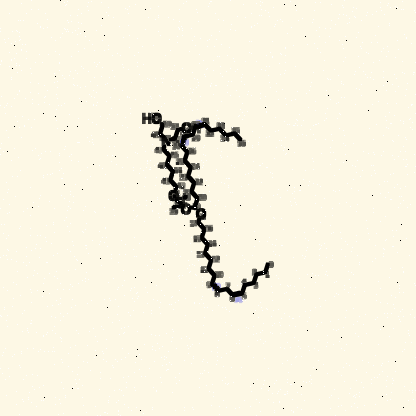 CCCCC/C=C\C/C=C\CCCCCCCCOC(CCCCCCC/C=C\C/C=C\CCCCC)O[Si](C)(C)OCCCCCCN(CCO)CCO